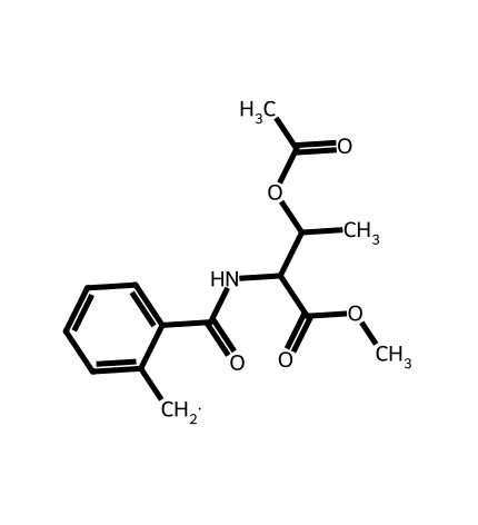 [CH2]c1ccccc1C(=O)NC(C(=O)OC)C(C)OC(C)=O